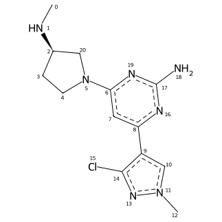 CN[C@@H]1CCN(c2cc(-c3cn(C)nc3Cl)nc(N)n2)C1